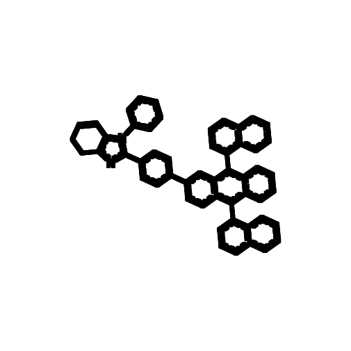 C1=Cc2c(nc(-c3ccc(-c4ccc5c(-c6cccc7ccccc67)c6ccccc6c(-c6cccc7ccccc67)c5c4)cc3)n2-c2ccccc2)CC1